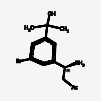 CC(=O)C[C@H](N)c1cc(Br)cc(C(C)(C)O)c1